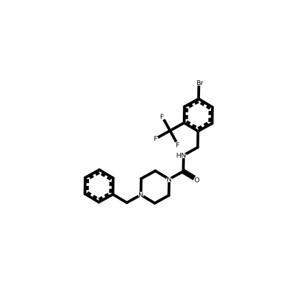 O=C(NCc1ccc(Br)cc1C(F)(F)F)N1CCN(Cc2ccccc2)CC1